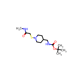 CNC(=O)CSN1CCC(CNC(=O)OC(C)(C)C)CC1